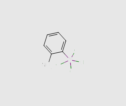 O=[N+]([O-])c1ccccc1P(Cl)(Cl)(Cl)Cl